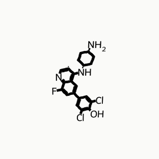 N[C@H]1CC[C@H](Nc2[c]cnc3c(F)cc(-c4cc(Cl)c(O)c(Cl)c4)cc23)CC1